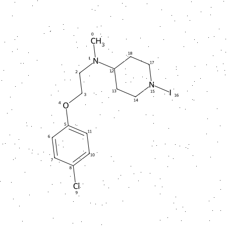 CN(CCOc1ccc(Cl)cc1)C1CCN(I)CC1